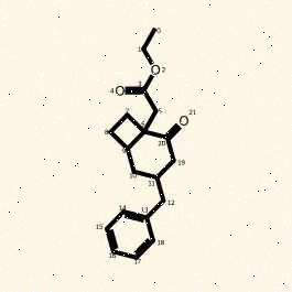 CCOC(=O)CC12CCC1CC(Cc1ccccc1)CC2=O